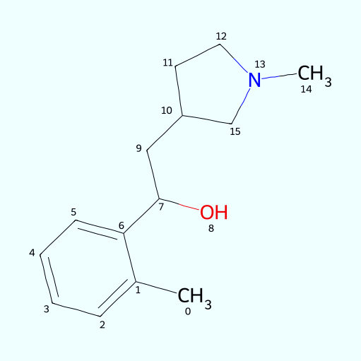 Cc1ccccc1C(O)CC1CCN(C)C1